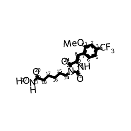 COc1cc(C(F)(F)F)ccc1/C=C1\NC(=O)N(CCCCCC(=O)NO)C1=O